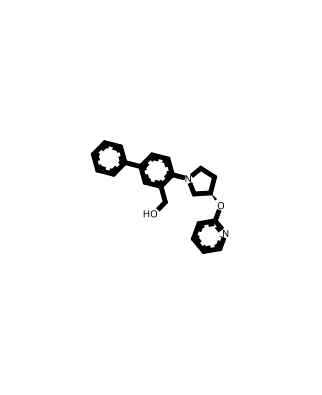 OCc1cc(-c2ccccc2)ccc1N1CC[C@H](Oc2ccccn2)C1